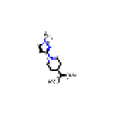 COC(OC)C1CCN(c2ccn(C)n2)CC1